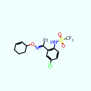 CC/C(=N\OC1C=CCCC1)c1cc(Cl)ccc1NS(=O)(=O)C(F)(F)F